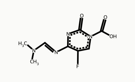 CN(C)C=Nc1nc(=O)n(C(=O)O)cc1F